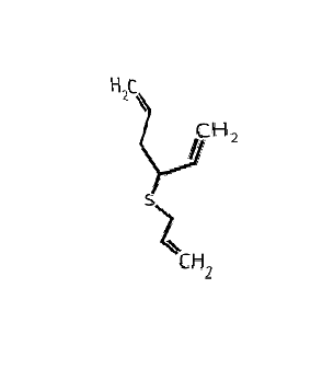 C=CCS[C](C=C)CC=C